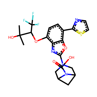 CC(C)(O)C(Oc1ccc(-c2nccs2)c2oc(N3CC4CC(C3)N4C(=O)O)nc12)C(F)(F)F